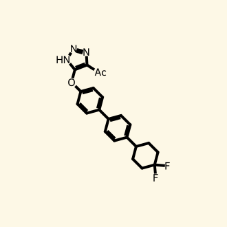 CC(=O)c1nn[nH]c1Oc1ccc(-c2ccc(C3CCC(F)(F)CC3)cc2)cc1